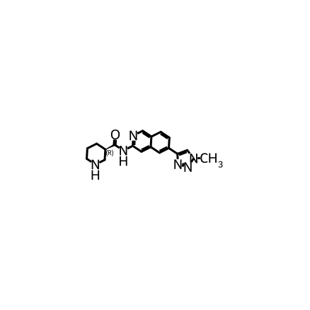 Cn1cc(-c2ccc3cnc(NC(=O)[C@@H]4CCCNC4)cc3c2)nn1